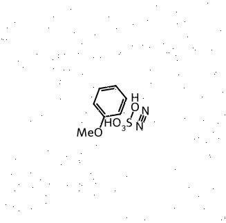 COc1ccccc1.N#N.O=S(=O)(O)O